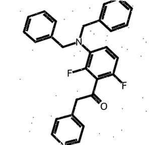 O=C(Cc1ccncc1)c1c(F)ccc(N(Cc2ccccc2)Cc2ccccc2)c1F